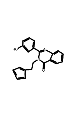 O=c1c2ccccc2nc(-c2cccc(O)c2)n1CCc1ccccc1